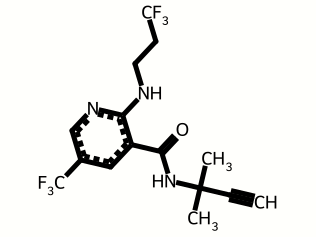 C#CC(C)(C)NC(=O)c1cc(C(F)(F)F)cnc1NCCC(F)(F)F